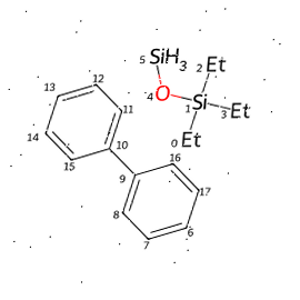 CC[Si](CC)(CC)O[SiH3].c1ccc(-c2ccccc2)cc1